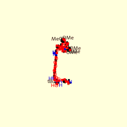 COc1ccc(CCC(OC(=O)C2CCCCN2C(=O)[C@H](c2cc(OC)c(OC)c(OC)c2)C2CCCCC2)c2cccc(OCc3cn(CCOCCOCCOCCOCCOCC(=O)N[C@H](C(=O)N4C[C@H](O)C[C@H]4C(=O)NCc4ccc(-c5scnc5C)cc4)C(C)(C)C)nn3)c2)cc1OC